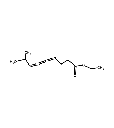 CCOC(=O)CCN=C=C=NC(C)C